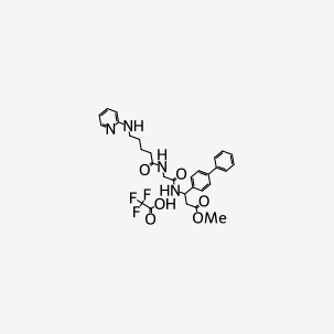 COC(=O)CC(NC(=O)CNC(=O)CCCCNc1ccccn1)c1ccc(-c2ccccc2)cc1.O=C(O)C(F)(F)F